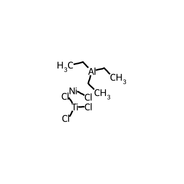 C[CH2][Al]([CH2]C)[CH2]C.[Cl][Ni].[Cl][Ti]([Cl])[Cl]